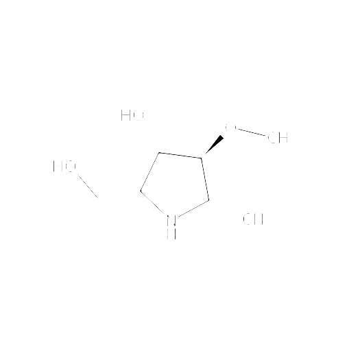 CO[C@@H]1[C@@H](O)[C@@H](CO)N[C@H]1C